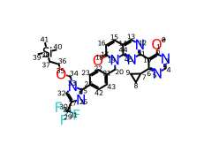 COc1ncnc(C2CC2)c1-c1ncc2ccc(=O)n(Cc3ccc(-c4nc(C(F)(F)F)cn4COCC[Si](C)(C)C)cc3)c2n1